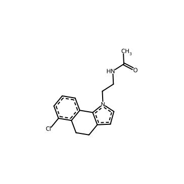 CC(=O)NCCn1ccc2c1-c1cccc(Cl)c1CC2